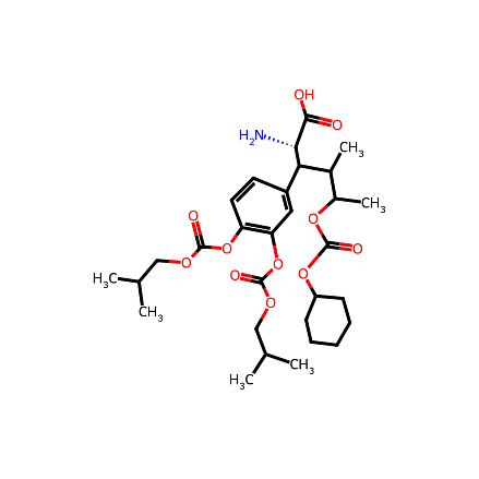 CC(C)COC(=O)Oc1ccc(C(C(C)C(C)OC(=O)OC2CCCCC2)[C@H](N)C(=O)O)cc1OC(=O)OCC(C)C